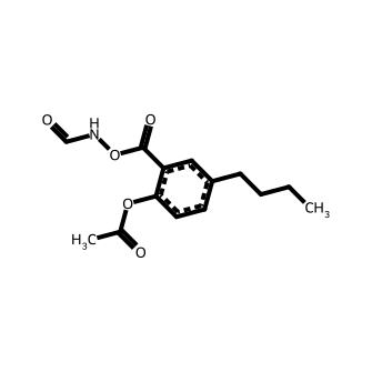 CCCCc1ccc(OC(C)=O)c(C(=O)ONC=O)c1